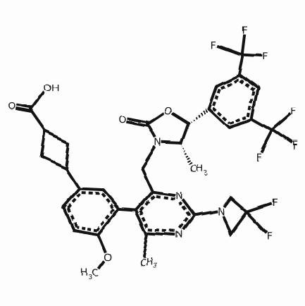 COc1ccc(C2CC(C(=O)O)C2)cc1-c1c(C)nc(N2CC(F)(F)C2)nc1CN1C(=O)O[C@H](c2cc(C(F)(F)F)cc(C(F)(F)F)c2)[C@@H]1C